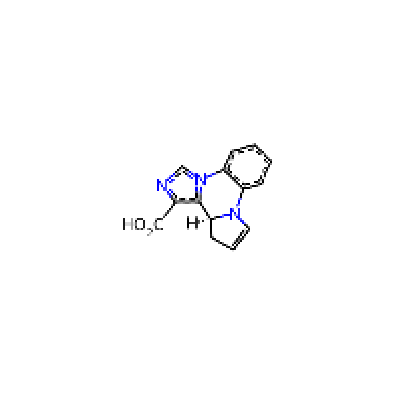 O=C(O)c1ncn2c1[C@@H]1CC=CN1c1ccccc1-2